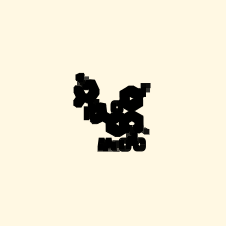 COC(=O)N1c2ccc(-c3cnn(C4CCN(C)CC4C)c3)c(Oc3ccc(F)cc3)c2CC[C@@H]1C